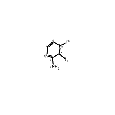 NC1=NC=CN(F)C1I